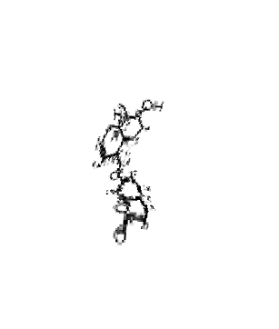 CC1=CC[C@@H]2[C@@H](C)[C@@H](O)CC[C@@]2(C)[C@H]1COc1ccc2ccc(=O)oc2c1